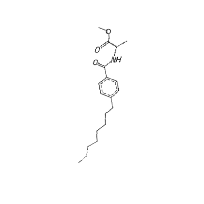 CCCCCCCCc1ccc(C(=O)NC(C)C(=O)OC)cc1